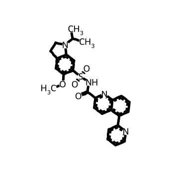 COc1cc2c(cc1S(=O)(=O)NC(=O)c1ccc3c(-c4ccccn4)cccc3n1)N(C(C)C)CC2